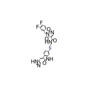 Cn1cc(C(=O)NC/C=C/c2ccc3c(c2)NC(=O)C3=Cc2cnc[nH]2)c(=O)n(Cc2ccc(F)c(F)c2)c1=O